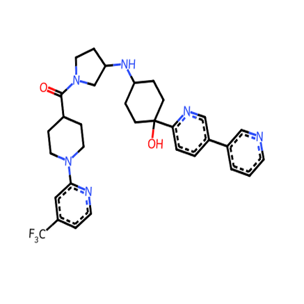 O=C(C1CCN(c2cc(C(F)(F)F)ccn2)CC1)N1CCC(NC2CCC(O)(c3ccc(-c4cccnc4)cn3)CC2)C1